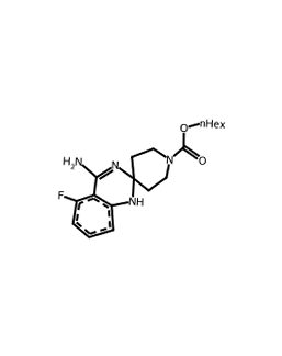 CCCCCCOC(=O)N1CCC2(CC1)N=C(N)c1c(F)cccc1N2